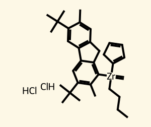 Cl.Cl.[CH2]=[Zr]([CH2]CCC)([C]1=CC=CC1)[c]1c(C)c(C(C)(C)C)cc2c1Cc1cc(C)c(C(C)(C)C)cc1-2